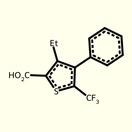 CCc1c(C(=O)O)sc(C(F)(F)F)c1-c1ccccc1